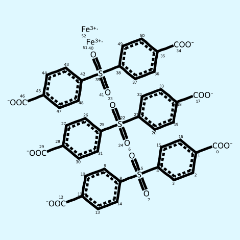 O=C([O-])c1ccc(S(=O)(=O)c2ccc(C(=O)[O-])cc2)cc1.O=C([O-])c1ccc(S(=O)(=O)c2ccc(C(=O)[O-])cc2)cc1.O=C([O-])c1ccc(S(=O)(=O)c2ccc(C(=O)[O-])cc2)cc1.[Fe+3].[Fe+3]